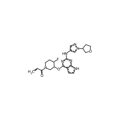 C=CC(=O)N1CCC(F)C(Oc2nc(Nc3cnn(C4CCOC4)c3)nc3[nH]ccc23)C1